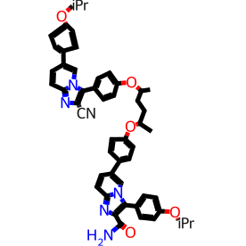 CC(C)Oc1ccc(-c2ccc3nc(C#N)c(-c4ccc(OC(C)CCC(C)Oc5ccc(-c6ccc7nc(C(N)=O)c(-c8ccc(OC(C)C)cc8)n7c6)cc5)cc4)n3c2)cc1